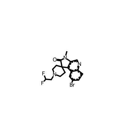 CN1C(=O)C2(CCN(CC(F)F)CC2)c2c1cnc1ccc(Br)cc21